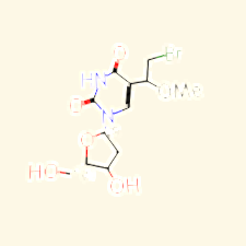 COC(CBr)c1cn([C@@H]2CC(O)[C@H](CO)O2)c(=O)[nH]c1=O